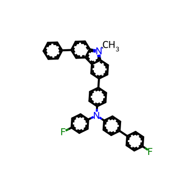 Cn1c2ccc(-c3ccccc3)cc2c2cc(-c3ccc(N(c4ccc(F)cc4)c4ccc(-c5ccc(F)cc5)cc4)cc3)ccc21